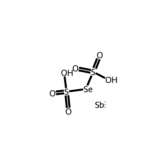 O=S(=O)(O)[Se]S(=O)(=O)O.[Sb]